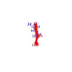 N[C@H](C=O)CCCCNC(=O)COCCOCCNC(=O)COCCOCCNC(=O)CC[C@H](NC(=O)CCCCCCCCCCOc1ccc(C(=O)O)cc1)C(=O)O